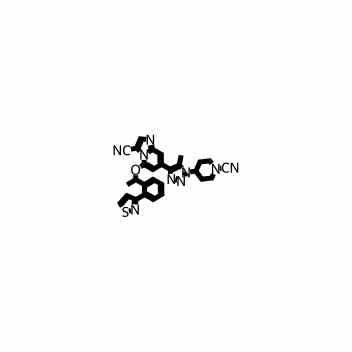 Cc1c(-c2cc(OC(C)c3ccccc3-c3ccsn3)n3c(C#N)cnc3c2)nnn1C1CCN(C#N)CC1